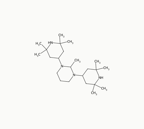 CC1N(C2CC(C)(C)NC(C)(C)C2)CCCN1C1CC(C)(C)NC(C)(C)C1